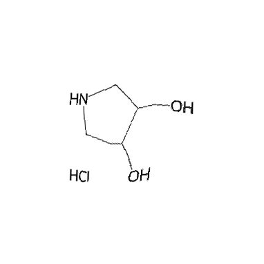 Cl.OC1CNCC1O